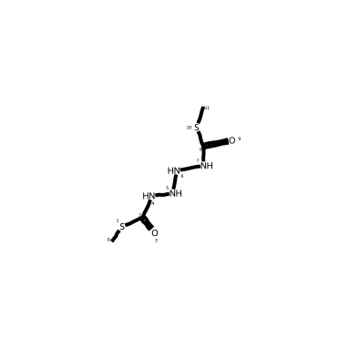 CSC(=O)NNNNC(=O)SC